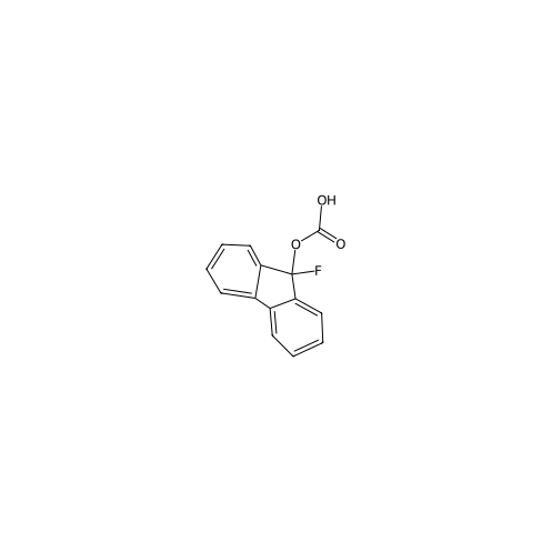 O=C(O)OC1(F)c2ccccc2-c2ccccc21